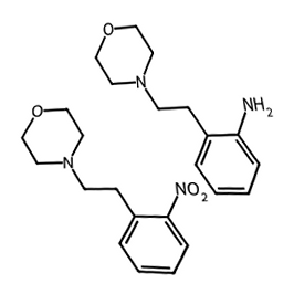 Nc1ccccc1CCN1CCOCC1.O=[N+]([O-])c1ccccc1CCN1CCOCC1